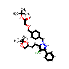 CC(C)(C)OC(=O)COCC1CCC(Cn2nc(-c3ccccc3)c(Br)c2CC[C@H]2COC(C)(C)O2)CC1